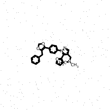 CN(C)Cc1cnn(-c2ccc(C3=C(Cc4ccccc4)OCO3)cc2)c1-c1ccco1